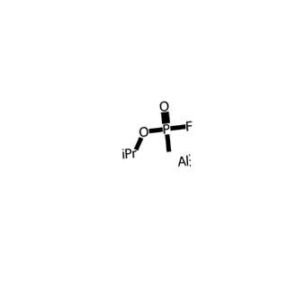 CC(C)OP(C)(=O)F.[Al]